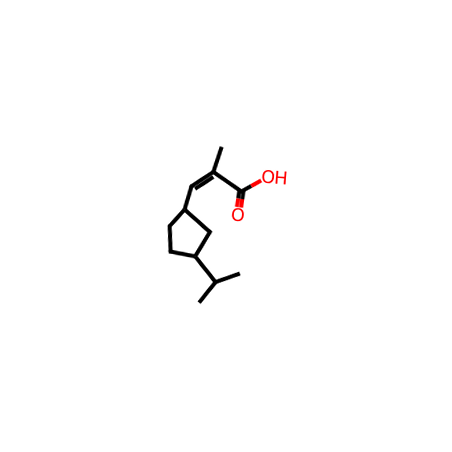 CC(=CC1CCC(C(C)C)C1)C(=O)O